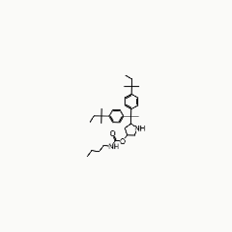 CCCCNC(=O)OC1CNC(C(C)(c2ccc(C(C)(C)CC)cc2)c2ccc(C(C)(C)CC)cc2)C1